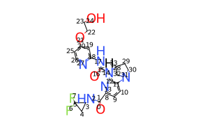 O=C(N[C@@H]1CC1(F)F)c1ccc2c(n1)N(C(=O)Nc1cc(OCCO)ccn1)[C@H]1CCN2C1